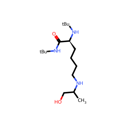 CC(CO)NCCCC[C@H](NC(C)(C)C)C(=O)NC(C)(C)C